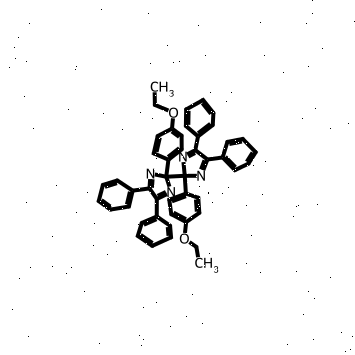 CCOc1ccc(C2(C3(c4ccc(OCC)cc4)N=C(c4ccccc4)C(c4ccccc4)=N3)N=C(c3ccccc3)C(c3ccccc3)=N2)cc1